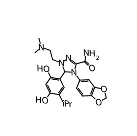 CC(C)c1cc(C2N(CCN(C)C)N=C(C(N)=O)N2c2ccc3c(c2)OCO3)c(O)cc1O